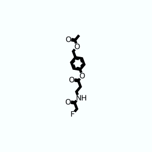 CC(=O)OCc1ccc(OC(=O)CCNC(=O)CF)cc1